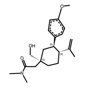 C=C(C)[C@@H]1CC[C@@](CO)(CC(=O)N(C)C)C[C@H]1c1ccc(OC)cc1